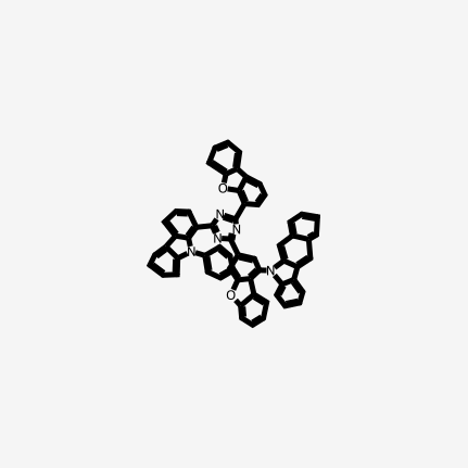 c1ccc(-n2c3ccccc3c3cccc(-c4nc(-c5cc(-n6c7ccccc7c7cc8ccccc8cc76)c6c(c5)oc5ccccc56)nc(-c5cccc6c5oc5ccccc56)n4)c32)cc1